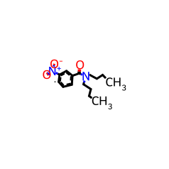 CCCCN(CCCC)C(=O)c1cc[c]c([N+](=O)[O-])c1